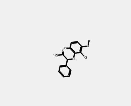 COc1ccc(Cl)c(NC(C(=O)O)c2ccccc2)c1Cl